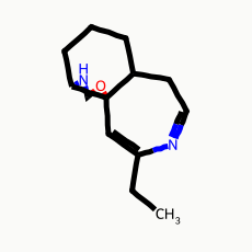 CCC1=CC23OCNC2CCCC3CC=N1